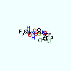 O=C(CNC(=O)Oc1sc(C2=NOC(c3cc(Cl)cc(Cl)c3)(C(F)(F)F)C2)c2c1CCC2)NCC(F)(F)F